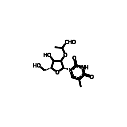 Cc1cn([C@@H]2O[C@H](CO)C(O)C2OC(C)C=O)c(=O)[nH]c1=O